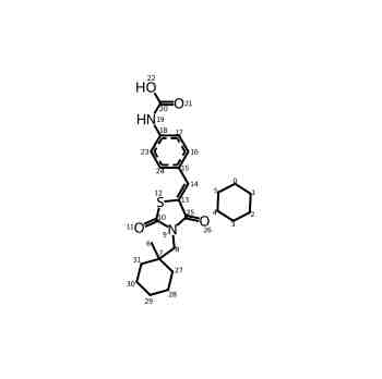 C1CCCCC1.CC1(CN2C(=O)SC(=Cc3ccc(NC(=O)O)cc3)C2=O)CCCCC1